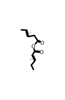 C/C=C/CC(=O)OC(=O)/C=C/CC